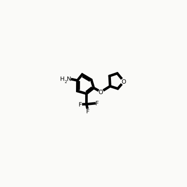 Nc1ccc(OC2CCOC2)c(C(F)(F)F)c1